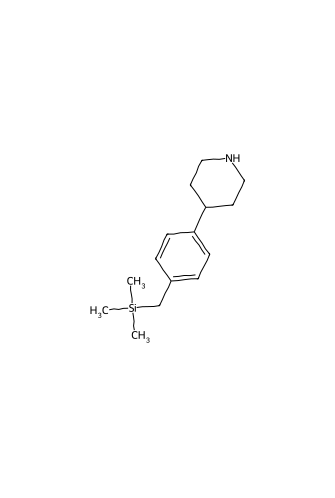 C[Si](C)(C)Cc1ccc(C2CCNCC2)cc1